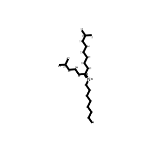 CCCCCCCCN=C(CCCCCCC(C)C)CCCC(C)C